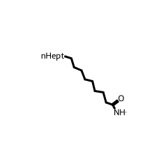 CCCCCCCCCCCCCCCC([NH])=O